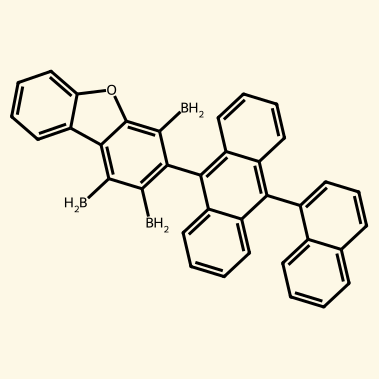 Bc1c(-c2c3ccccc3c(-c3cccc4ccccc34)c3ccccc23)c(B)c2oc3ccccc3c2c1B